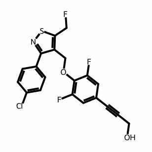 OCC#Cc1cc(F)c(OCc2c(-c3ccc(Cl)cc3)nsc2CF)c(F)c1